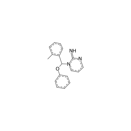 Cc1ccccc1C(Oc1ccccc1)n1cccnc1=N